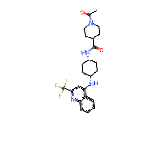 CC(=O)N1CCC(C(=O)N[C@H]2CC[C@@H](Nc3cc(C(F)(F)F)nc4ccccc34)CC2)CC1